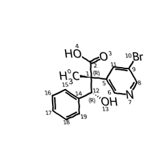 C[C@@](C(=O)O)(c1cncc(Br)c1)[C@H](O)c1ccccc1